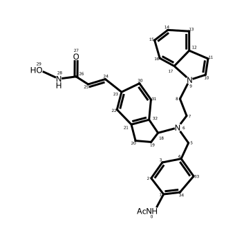 CC(=O)Nc1ccc(CN(CCn2ccc3ccccc32)C2CCc3cc(C=CC(=O)NO)ccc32)cc1